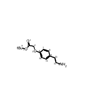 CC(C)(C)OC(=O)COc1ccc(CCN)cc1